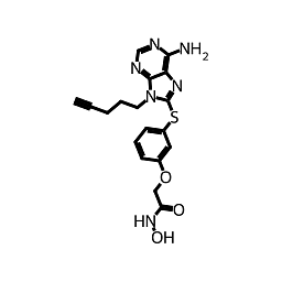 C#CCCCn1c(Sc2cccc(OCC(=O)NO)c2)nc2c(N)ncnc21